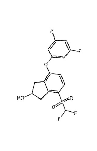 O=S(=O)(c1ccc(Oc2cc(F)cc(F)c2)c2c1CC(O)C2)C(F)F